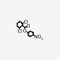 O=C(Oc1ccc([N+](=O)[O-])cc1)c1c(Cl)cccc1Cl